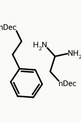 CCCCCCCCCCCC(N)N.CCCCCCCCCCCCc1ccccc1